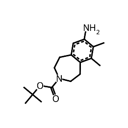 Cc1c(N)cc2c(c1C)CCN(C(=O)OC(C)(C)C)CC2